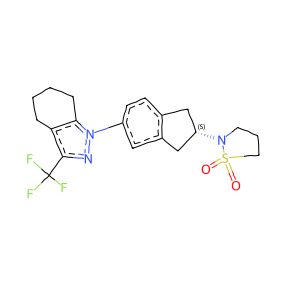 O=S1(=O)CCCN1[C@H]1Cc2ccc(-n3nc(C(F)(F)F)c4c3CCCC4)cc2C1